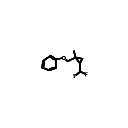 CC1(COc2ccccc2)CC1C(F)F